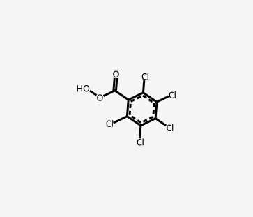 O=C(OO)c1c(Cl)c(Cl)c(Cl)c(Cl)c1Cl